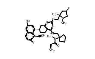 C#Cc1c(F)ccc2cc(O)cc([C@H]3CCc4c(nc(OC[C@]5(C)C[C@@H](F)CN5C)nc4NCC4(N(C)C(=O)C=C)CCCC4)C3)c12